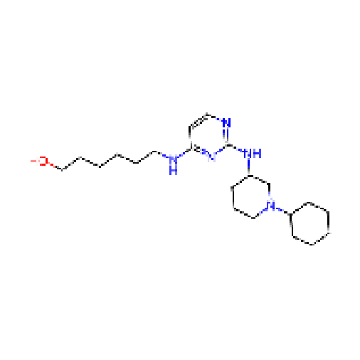 OCCCCCCNc1ccnc(NC2CCCN(C3CCCCC3)C2)n1